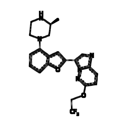 C[C@H]1CN(c2cccc3oc(-c4cnc5ccc(OCC(F)(F)F)nn45)cc23)CCN1